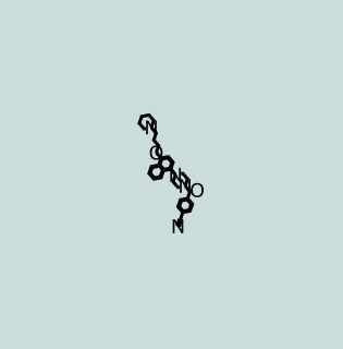 N#Cc1ccc(C(=O)N2CCN(c3ccc(OCCCN4CCCCC4)c4ccccc34)CC2)cc1